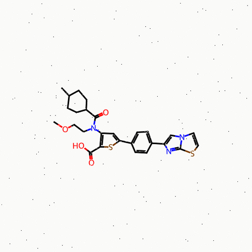 COCCN(C(=O)C1CCC(C)CC1)c1cc(-c2ccc(-c3cn4ccsc4n3)cc2)sc1C(=O)O